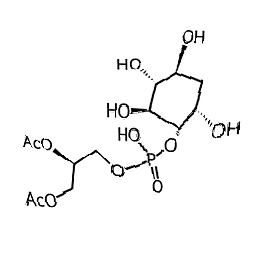 CC(=O)OC[C@H](COP(=O)(O)O[C@@H]1[C@@H](O)[C@H](O)[C@@H](O)C[C@@H]1O)OC(C)=O